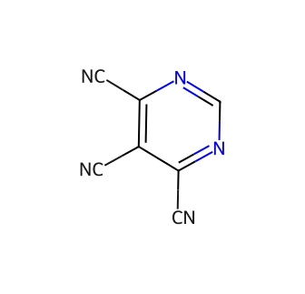 N#Cc1ncnc(C#N)c1C#N